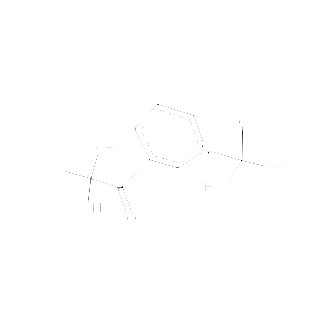 CC(C)(C)C(=O)c1ccc[n+](C(C)(C)C)c1